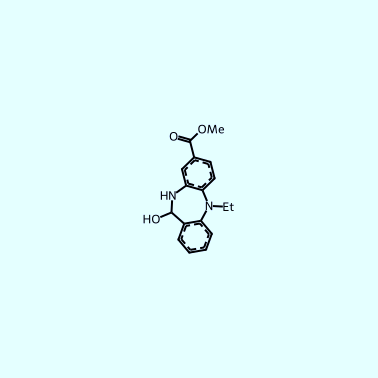 CCN1c2ccc(C(=O)OC)cc2NC(O)c2ccccc21